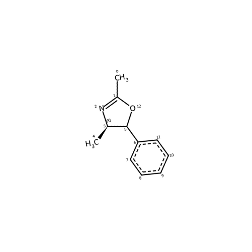 CC1=N[C@H](C)C(c2ccccc2)O1